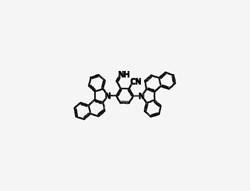 N#Cc1c(-n2c3ccccc3c3c4ccccc4ccc32)ccc(-n2c3ccccc3c3c4ccccc4ccc32)c1C=N